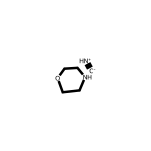 C1COCCN1.[C-]#[NH+]